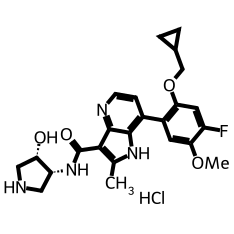 COc1cc(-c2ccnc3c(C(=O)N[C@@H]4CNC[C@@H]4O)c(C)[nH]c23)c(OCC2CC2)cc1F.Cl